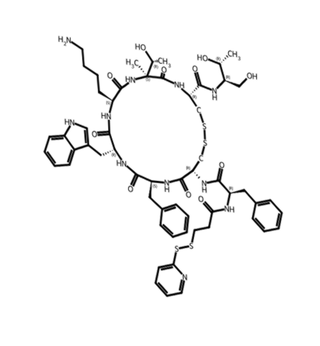 C[C@@H](O)[C@@H](CO)NC(=O)[C@@H]1CSSC[C@H](NC(=O)[C@@H](Cc2ccccc2)NC(=O)CCSSc2ccccn2)C(=O)N[C@@H](Cc2ccccc2)C(=O)N[C@H](Cc2c[nH]c3ccccc23)C(=O)N[C@@H](CCCCN)C(=O)N[C@@](C)([C@@H](C)O)C(=O)N1